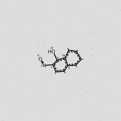 O=Nc1ccc2ccccc2c1O